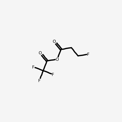 O=C(CCF)OC(=O)C(F)(F)F